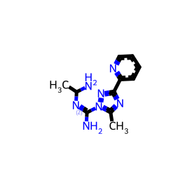 Cc1nc(-c2ccccn2)nn1/C(N)=N\C(C)N